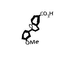 COc1cccc(C2CCc3cc(C(=O)O)ccc3O2)c1